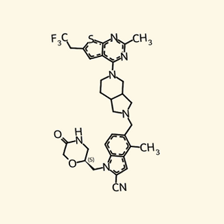 Cc1nc(N2CCC3CN(Cc4ccc5c(cc(C#N)n5C[C@@H]5CNC(=O)CO5)c4C)CC3C2)c2cc(CC(F)(F)F)sc2n1